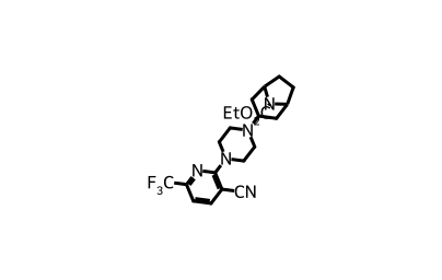 CCOC(=O)N1C2CCC1CC(N1CCN(c3nc(C(F)(F)F)ccc3C#N)CC1)C2